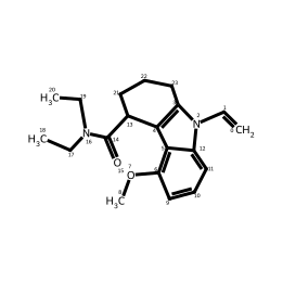 C=Cn1c2c(c3c(OC)cccc31)C(C(=O)N(CC)CC)CCC2